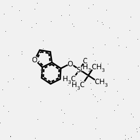 CC(C)(C)[Si](C)(C)Oc1cccc2occc12